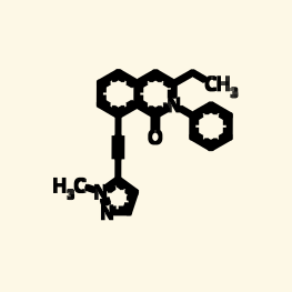 CCc1cc2cccc(C#Cc3ccnn3C)c2c(=O)n1-c1ccccc1